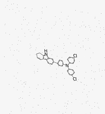 Clc1ccc(N(c2ccc(Cl)cc2)c2ccc(-c3ccc4c5c([nH]c4c3)CCC=C5)cc2)cc1